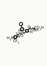 Nc1cc2sc(NC(=O)N(Cc3ccc(C(=O)NC[C@@H](O)C(=O)O)cc3)c3ccc(C4=CCCCC4)cc3)nc2cc1C(F)(F)F